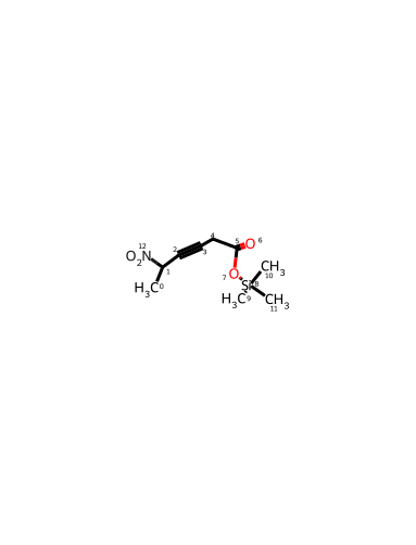 CC(C#CCC(=O)O[Si](C)(C)C)[N+](=O)[O-]